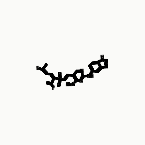 C=C(F)/C(=C\C=C(/C)F)S(=O)(=O)/C=C/c1cnc(Nc2ccc3[nH]cnc3c2)nc1NC